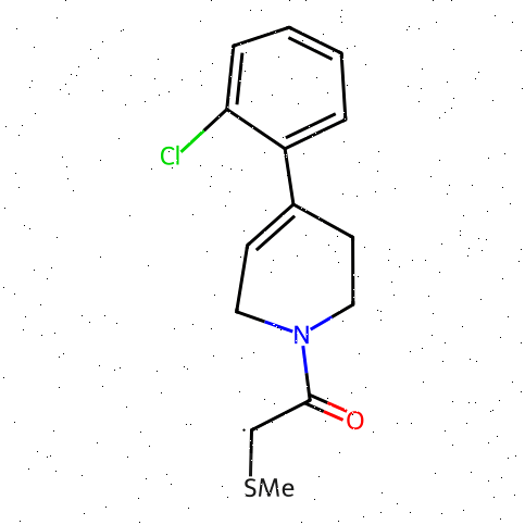 CS[CH]C(=O)N1CC=C(c2ccccc2Cl)CC1